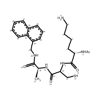 CC(=O)N[C@@H](CCCCN)C(=O)NC(CS)C(=O)N[C@@H](C)C(=O)NCc1cccc2ccccc12